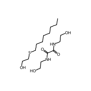 CCCCCCCCSCCO.O=C(NCCO)C(=O)NCCO